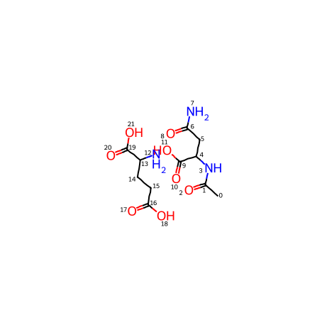 CC(=O)NC(CC(N)=O)C(=O)O.NC(CCC(=O)O)C(=O)O